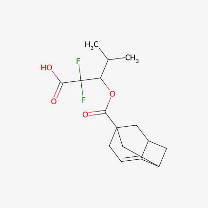 CC(C)C(OC(=O)C12CC=C3C(CC3C1)C2)C(F)(F)C(=O)O